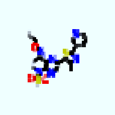 CCCO/N=C1\CCN(S(C)(=O)=O)c2ncc(-c3sc(-c4cccnc4)nc3C)nc21